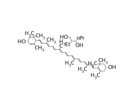 CC1=C[C@H](O)CC(C)(C)[C@H]1/C=C/C(C)=C/C=C/C(C)=C/C=C/C=C(C)/C=C/C=C(C)/C=C/C1=C(C)C[C@@H](O)CC1(C)C.CCCC(O)C(CC)CO